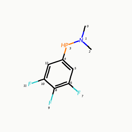 CN(C)Pc1cc(F)c(F)c(F)c1